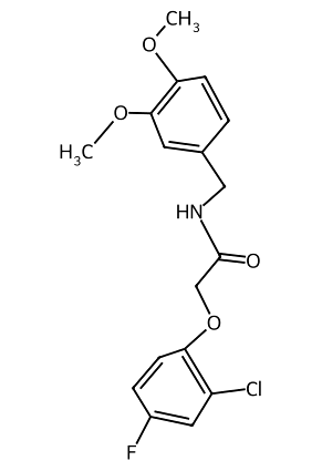 COc1ccc(CNC(=O)COc2ccc(F)cc2Cl)cc1OC